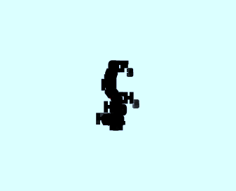 CC(CNC(=O)/N=C1\SCC(=O)N1c1ccc(F)cc1C(C)C)Cc1ccc(-c2ncn(-c3ccc(OC(F)(F)F)cc3)n2)cc1